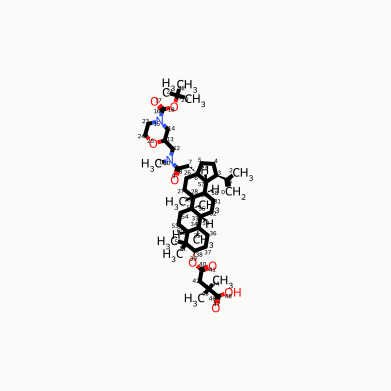 C=C(C)[C@@H]1CC[C@]2(CC(=O)N(C)CC3CN(C(=O)OC(C)(C)C)CCO3)CC[C@]3(C)[C@H](CC[C@@H]4[C@@]5(C)CC[C@H](OC(=O)CC(C)(C)C(=O)O)C(C)(C)[C@@H]5CC[C@]43C)[C@@H]12